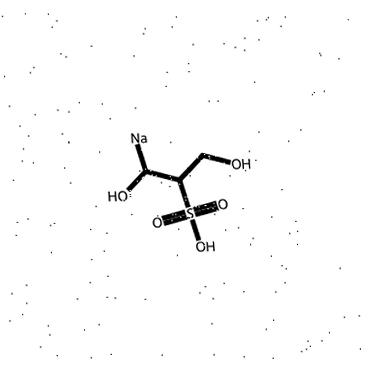 O=S(=O)(O)C(CO)[CH](O)[Na]